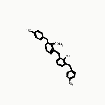 Oc1ccc(Cc2cccc(Cc3cccc(Cc4ccc(O)cc4)c3O)c2O)cc1